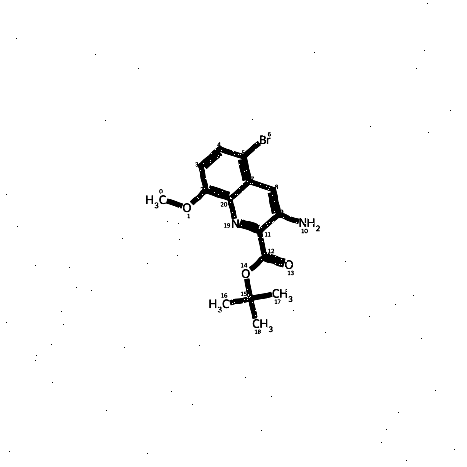 COc1ccc(Br)c2cc(N)c(C(=O)OC(C)(C)C)nc12